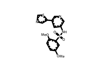 COc1ccc(OC)c(S(=O)(=O)Nc2cncc(-c3cncs3)c2)c1